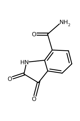 NC(=O)c1cccc2c1NC(=O)C2=O